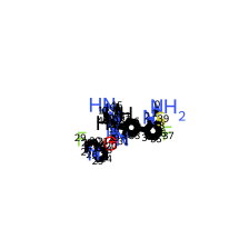 Nc1nc2c(-c3ccc4c(N5[C@@H]6CC[C@H]5CNC6)nc(OC[C@@]56CCCN5C[C@H](F)C6)nc4c3)ccc(F)c2s1